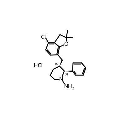 CC1(C)Cc2c(Cl)ccc(C[C@@H]3CCCN(N)[C@@H]3c3ccccc3)c2O1.Cl